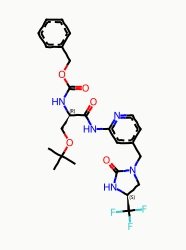 CC(C)(C)OC[C@@H](NC(=O)OCc1ccccc1)C(=O)Nc1cc(CN2C[C@@H](C(F)(F)F)NC2=O)ccn1